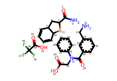 NC(=O)C1CC2C=CC=CC2S1.NCc1cccc(C(=O)N(CC(=O)O)c2ccccc2)c1.O=C(O)C(F)(F)F